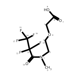 CN(CCOCC(=O)O)C(=O)C(F)(F)C(F)(F)F